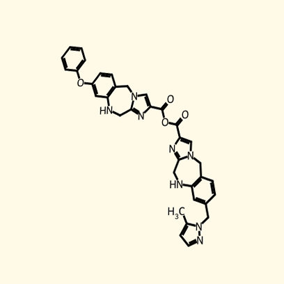 Cc1ccnn1Cc1ccc2c(c1)NCc1nc(C(=O)OC(=O)c3cn4c(n3)CNc3cc(Oc5ccccc5)ccc3C4)cn1C2